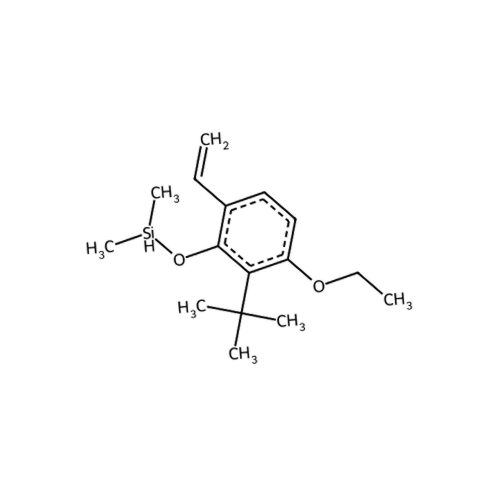 C=Cc1ccc(OCC)c(C(C)(C)C)c1O[SiH](C)C